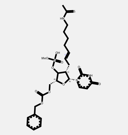 COP(=O)(O)OC1[C@@H](COC(=O)OCc2ccccc2)O[C@@H](n2ccc(=O)[nH]c2=O)[C@H]1C/C=C/CCCCNC(C)=S